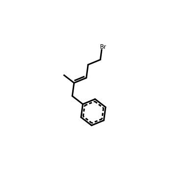 CC(=CCCBr)Cc1ccccc1